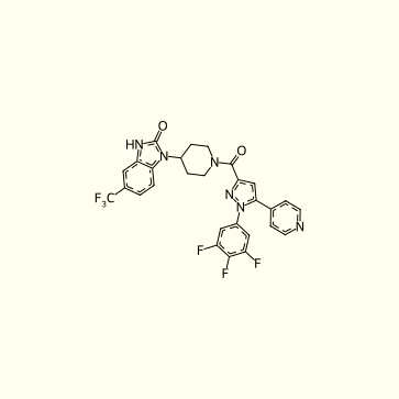 O=C(c1cc(-c2ccncc2)n(-c2cc(F)c(F)c(F)c2)n1)N1CCC(n2c(=O)[nH]c3cc(C(F)(F)F)ccc32)CC1